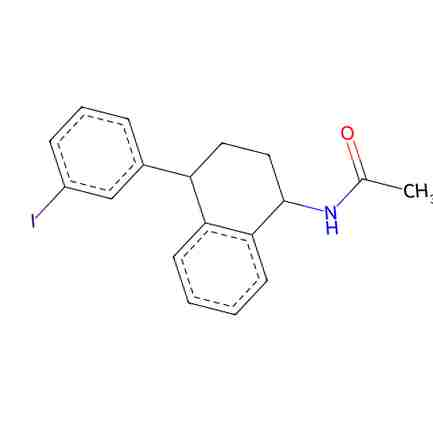 CC(=O)NC1CCC(c2cccc(I)c2)c2ccccc21